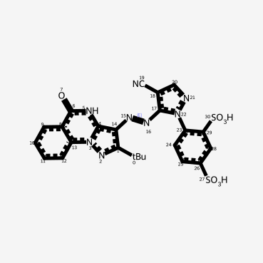 CC(C)(C)c1nn2c([nH]c(=O)c3ccccc32)c1/N=N/c1c(C#N)cnn1-c1ccc(S(=O)(=O)O)cc1S(=O)(=O)O